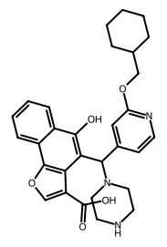 O=C(O)c1coc2c1c(C(c1ccnc(OCC3CCCCC3)c1)N1CCNCC1)c(O)c1ccccc12